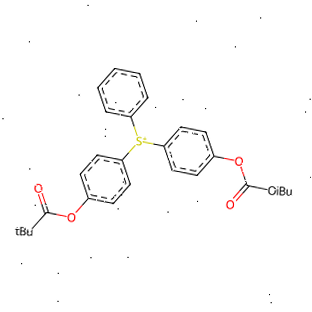 CC(C)COC(=O)Oc1ccc([S+](c2ccccc2)c2ccc(OC(=O)C(C)(C)C)cc2)cc1